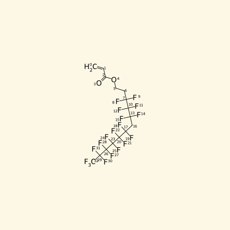 C=CC(=O)OCCC(F)(F)C(F)(F)C(F)(F)CC(F)(F)C(F)(F)C(F)(F)C(F)(F)C(F)(F)C(F)(F)F